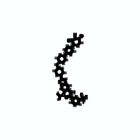 CC(C)Oc1cc2nc(C3CCC(CN4CCC(c5ccc(C6CCC(=O)NC6=O)cc5)CC4)CC3)cn2cc1NC(=O)c1cccc(C(F)(F)F)n1